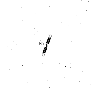 [O]=[Ti]=[O].[Rh]